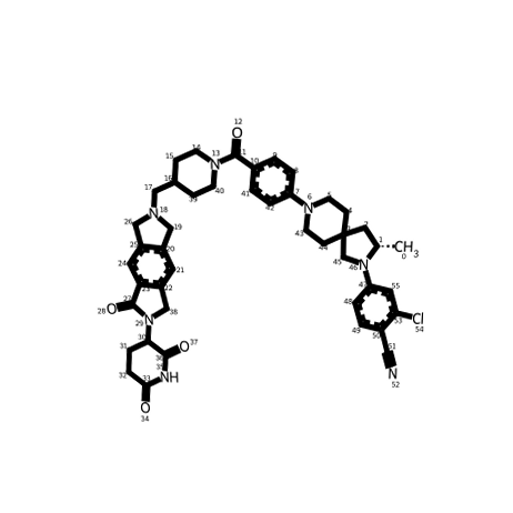 C[C@H]1CC2(CCN(c3ccc(C(=O)N4CCC(CN5Cc6cc7c(cc6C5)C(=O)N(C5CCC(=O)NC5=O)C7)CC4)cc3)CC2)CN1c1ccc(C#N)c(Cl)c1